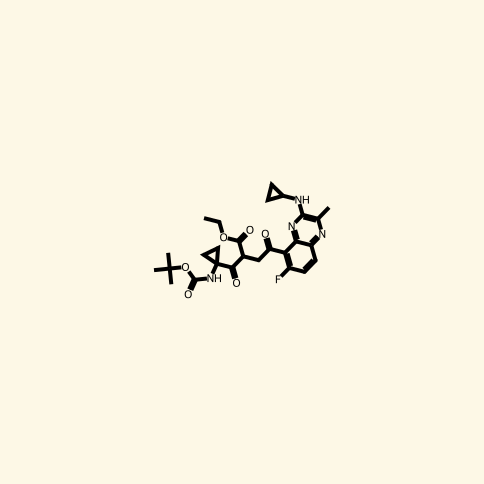 CCOC(=O)C(CC(=O)c1c(F)ccc2nc(C)c(NC3CC3)nc12)C(=O)C1(NC(=O)OC(C)(C)C)CC1